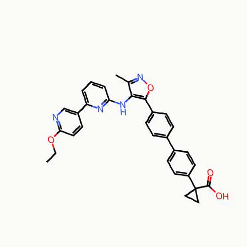 CCOc1ccc(-c2cccc(Nc3c(C)noc3-c3ccc(-c4ccc(C5(C(=O)O)CC5)cc4)cc3)n2)cn1